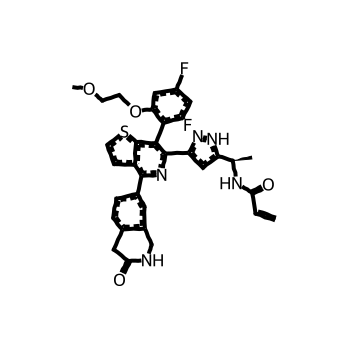 C=CC(=O)N[C@H](C)c1cc(-c2nc(-c3ccc4c(c3)CNC(=O)C4)c3ccsc3c2-c2c(F)cc(F)cc2OCCOC)n[nH]1